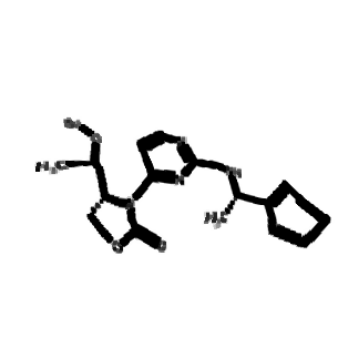 C[C@H](Nc1nccc(N2C(=O)OC[C@@H]2[C@@H](C)OC(C)(C)C)n1)c1ccccc1